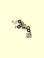 CC(C)(C)CNCc1ccc2c(c1)CCC[C@H]2NC(=O)CC(NS(=O)(=O)c1cccc(C(F)(F)F)c1)c1ccc(F)cc1